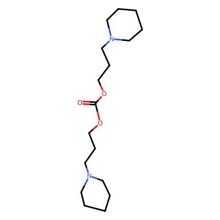 O=C(OCCCN1CCCCC1)OCCCN1CCCCC1